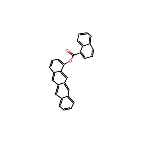 O=C(Oc1cccc2cc3cc4ccccc4cc3cc12)c1cccc2ccccc12